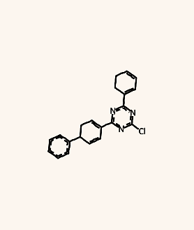 Clc1nc(C2=CCC(c3ccccc3)C=C2)nc(C2=CC=CCC2)n1